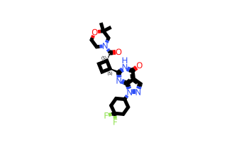 CC1(C)CN(C(=O)[C@H]2CC[C@@H]2c2nc3c(cnn3C3CCC(F)(F)CC3)c(=O)[nH]2)CCO1